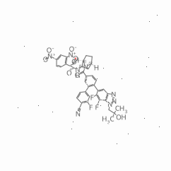 CC(C)(O)Cn1nnc2cc(-c3ccc(C(=O)N4[C@H]5CC[C@@H]4[C@H](NS(=O)(=O)c4ccc([N+](=O)[O-])cc4[N+](=O)[O-])C5)cc3-c3ccc(C#N)c(F)c3)c(F)c(F)c21